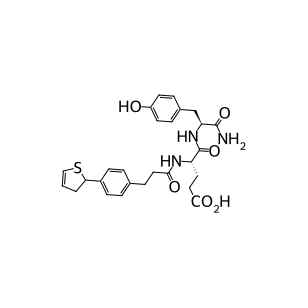 NC(=O)[C@H](Cc1ccc(O)cc1)NC(=O)[C@H](CCC(=O)O)NC(=O)CCc1ccc(C2CC=CS2)cc1